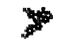 Cc1ccc(Cl)cc1-c1[nH]c(-c2nc(N)ncc2C#Cc2ccccc2NC2CCN(C)CC2)cc1C(N)=O